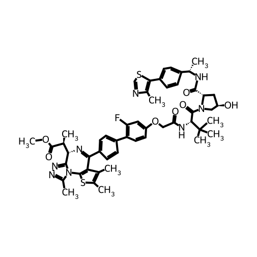 COC(=O)[C@@H](C)[C@@H]1N=C(c2ccc(-c3ccc(OCC(=O)N[C@H](C(=O)N4C[C@H](O)C[C@H]4C(=O)N[C@@H](C)c4ccc(-c5scnc5C)cc4)C(C)(C)C)cc3F)cc2)c2c(sc(C)c2C)-n2c(C)nnc21